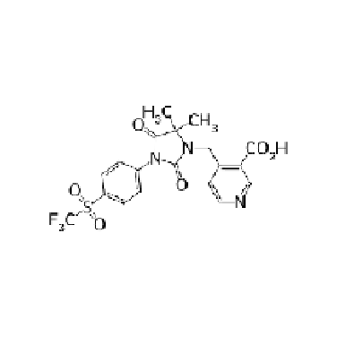 CC1(C)C(=O)N(c2ccc(S(=O)(=O)C(F)(F)F)cc2)C(=O)N1Cc1ccncc1C(=O)O